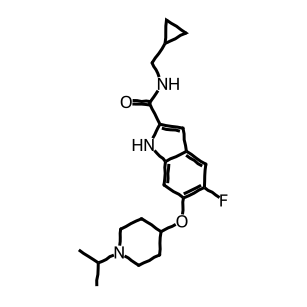 CC(C)N1CCC(Oc2cc3[nH]c(C(=O)NCC4CC4)cc3cc2F)CC1